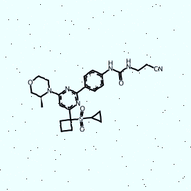 C[C@H]1COCCN1c1cc(C2(S(=O)(=O)C3CC3)CCC2)nc(-c2ccc(NC(=O)NCCC#N)cc2)n1